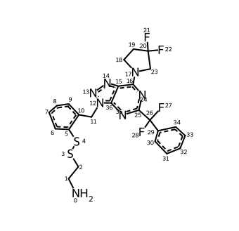 NCCSSc1ccccc1Cn1nnc2c(N3CCC(F)(F)C3)nc(C(F)(F)c3ccccc3)nc21